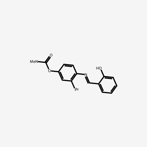 CNC(=O)Oc1ccc(N=Cc2ccccc2O)c(C(C)C)c1